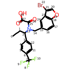 CCC(c1ccc(C(F)(F)F)cc1)N(Cc1ccc2occ(Br)c2c1)C(=O)C(=O)O